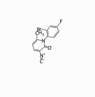 [C-]#[N+]c1ccc(C)n(-c2ccc(F)cc2Br)c1=O